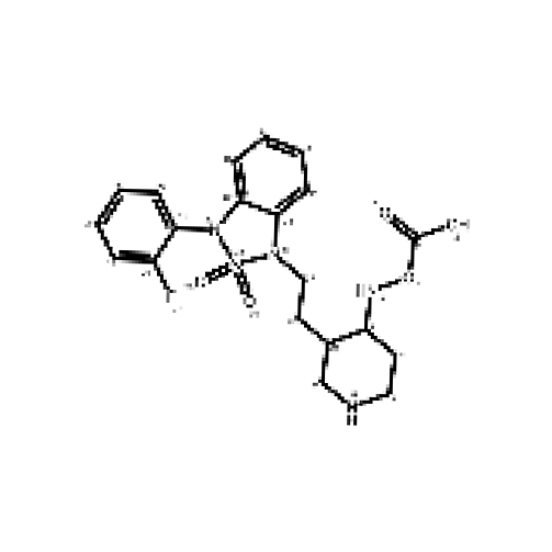 O=C(O)ONC1CCNCC1CCN1c2ccccc2N(c2ccccc2F)S1(=O)=O